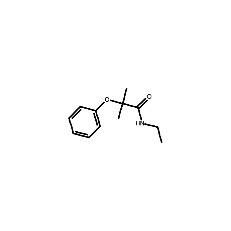 CCNC(=O)C(C)(C)Oc1ccccc1